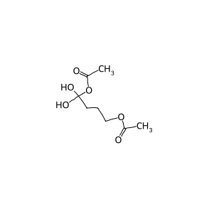 CC(=O)OCCCC(O)(O)OC(C)=O